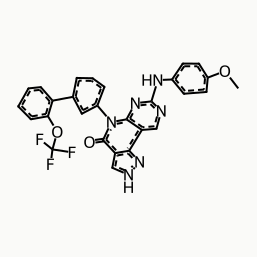 COc1ccc(Nc2ncc3c4n[nH]cc4c(=O)n(-c4cccc(-c5ccccc5OC(F)(F)F)c4)c3n2)cc1